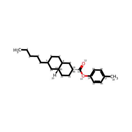 CCCCCC1CCC2C[C@H](C(=O)Oc3ccc(C)cc3)CC[C@@H]2C1